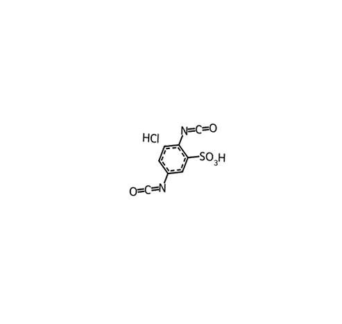 Cl.O=C=Nc1ccc(N=C=O)c(S(=O)(=O)O)c1